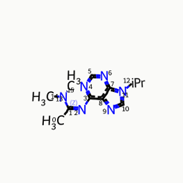 C/C(=N/c1ncnc2c1ncn2C(C)C)N(C)C